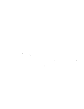 COc1cccc(CCNC(=O)Cn2nc(-c3ccccc3Cl)n(C3CC3)c2=O)c1OC